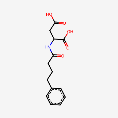 O=C(O)CC(NC(=O)CCCc1ccccc1)C(=O)O